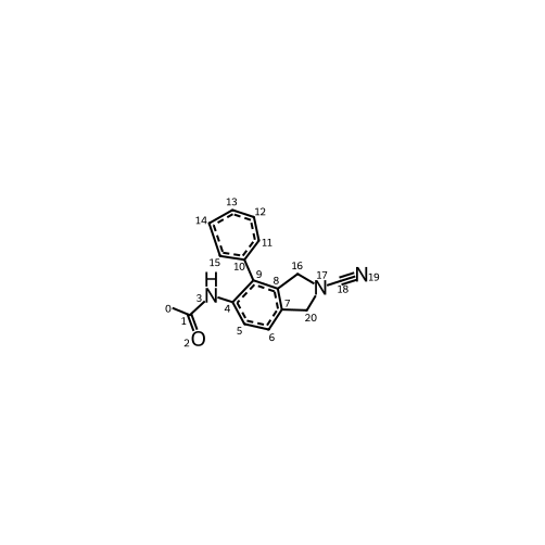 CC(=O)Nc1ccc2c(c1-c1ccccc1)CN(C#N)C2